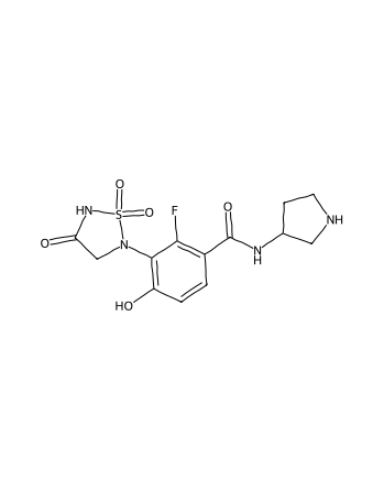 O=C1CN(c2c(O)ccc(C(=O)NC3CCNC3)c2F)S(=O)(=O)N1